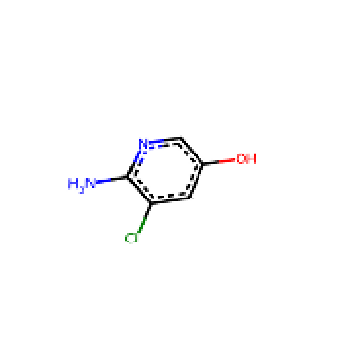 Nc1ncc(O)[c]c1Cl